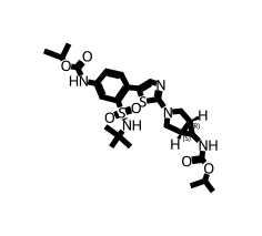 CC(C)OC(=O)Nc1ccc(-c2cnc(N3C[C@@H]4C(NC(=O)OC(C)C)[C@@H]4C3)s2)c(S(=O)(=O)NC(C)(C)C)c1